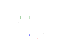 COc1ccc(-c2cc3c(C(F)(F)F)cccc3nc(=O)c2C)cc1